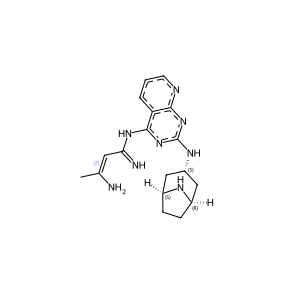 C/C(N)=C/C(=N)Nc1nc(N[C@@H]2C[C@H]3CC[C@@H](C2)N3)nc2ncccc12